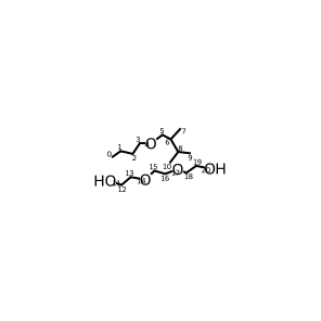 CCCCOCC(C)C(C)C.OCCOCCOCCO